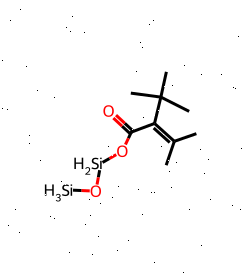 CC(C)=C(C(=O)O[SiH2]O[SiH3])C(C)(C)C